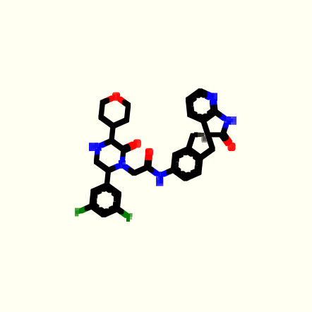 O=C(CN1C(=O)C(C2CCOCC2)NCC1c1cc(F)cc(F)c1)Nc1ccc2c(c1)C[C@@]1(C2)C(=O)Nc2ncccc21